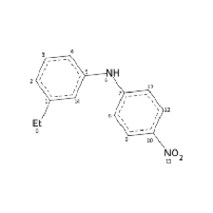 CCc1cccc(Nc2ccc([N+](=O)[O-])cc2)c1